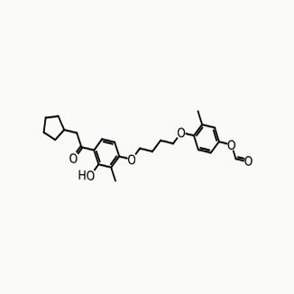 Cc1cc(OC=O)ccc1OCCCCOc1ccc(C(=O)CC2CCCC2)c(O)c1C